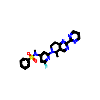 CC1c2cnc(-c3ncccn3)nc2CCN1c1cc(N(C)S(=O)(=O)c2ccccc2)cc(F)n1